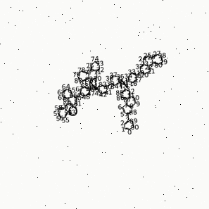 c1ccc(-c2ccc3c(ccc4cc(N(c5ccc(-c6ccc7c(ccc8ccccc87)c6)cc5)c5cccc(-c6cccc(N(c7ccc(-c8cc9oc%10ccccc%10c9c9ccccc89)cc7)c7cc8ccccc8c8ccccc78)c6)c5)ccc43)c2)cc1